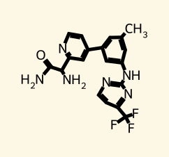 Cc1cc(Nc2nccc(C(F)(F)F)n2)cc(-c2ccnc(C(N)C(N)=O)c2)c1